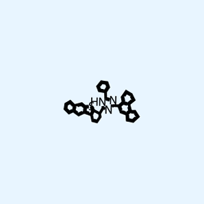 C1=Cc2c(sc3cc4ccccc4cc23)C(C2N=C(c3cc4ccccc4c4ccccc34)N=C(c3ccccc3)N2)C1